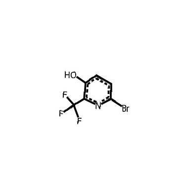 Oc1ccc(Br)nc1C(F)(F)F